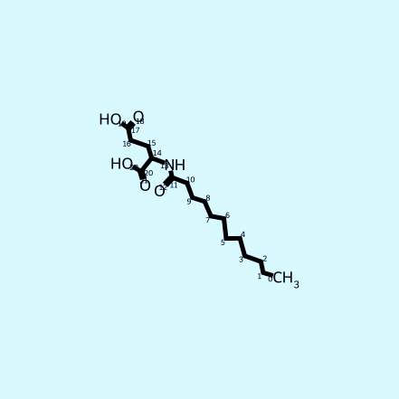 CCCCCCCCCCCC(=O)NC(CCC(=O)O)C(=O)O